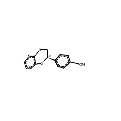 Oc1ccc([C@@H]2CSc3ncccc3O2)cc1